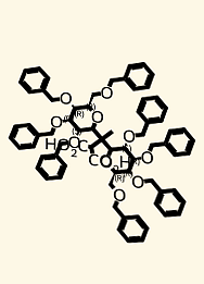 CC(C(C(=O)O)C(=O)O)(C1O[C@H](COCc2ccccc2)[C@@H](OCc2ccccc2)[C@H](OCc2ccccc2)[C@H]1OCc1ccccc1)C1O[C@H](COCc2ccccc2)[C@@H](OCc2ccccc2)[C@H](OCc2ccccc2)[C@H]1OCc1ccccc1